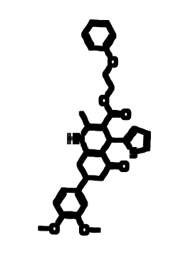 COc1ccc(C2CC(=O)C3=C(C2)NC(C)=C(C(=O)OCCOc2ccccc2)C3c2cccs2)cc1OC